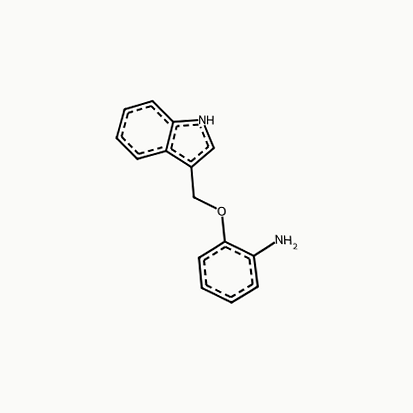 Nc1ccccc1OCc1c[nH]c2ccccc12